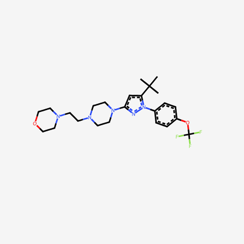 CC(C)(C)c1cc(N2CCN(CCN3CCOCC3)CC2)nn1-c1ccc(OC(F)(F)F)cc1